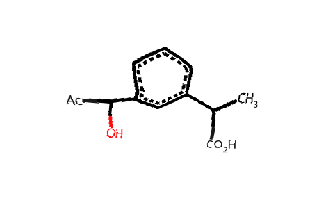 CC(=O)C(O)c1cccc(C(C)C(=O)O)c1